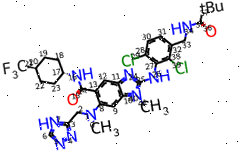 CN(Cc1nnc[nH]1)c1cc2c(cc1C(=O)N[C@H]1CC[C@H](C(F)(F)F)CC1)nc(Nc1c(Cl)ccc(CNC(=O)C(C)(C)C)c1Cl)n2C